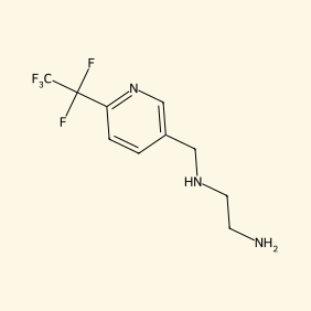 NCCNCc1ccc(C(F)(F)C(F)(F)F)nc1